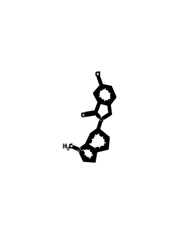 Cn1ccc2ccc(N3Cc4ccc(Cl)cc4C3=O)cc21